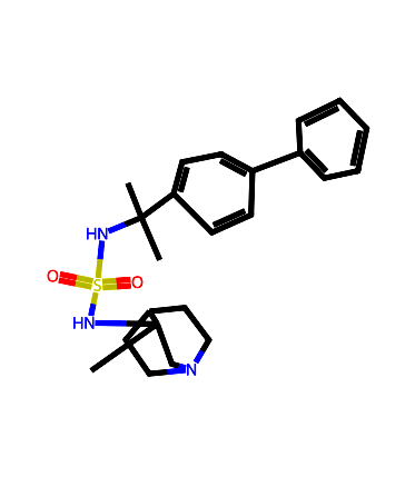 CC(C)(NS(=O)(=O)NC1(C)CN2CCC1CC2)c1ccc(-c2ccccc2)cc1